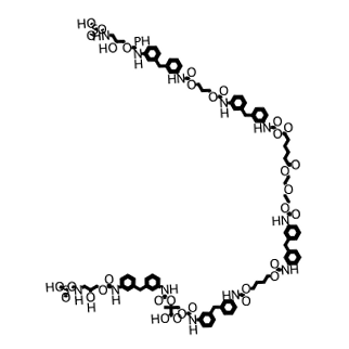 CC(COC(=O)Nc1cccc(Cc2cccc(NC(=O)OCCCCOC(=O)Nc3cccc(Cc4cccc(NC(=O)OCCOCCOC(=O)CCCCC(=O)OC(=O)Nc5cccc(Cc6cccc(NC(=O)OCCCOC(=O)Nc7cccc(Cc8cccc(NC(=P)OCC(O)CNOS(=O)O)c8)c7)c6)c5)c4)c3)c2)c1)(OC(=O)Nc1cccc(Cc2cccc(NC(=O)OCC(O)CNOS(=O)O)c2)c1)C(=O)O